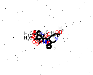 CC[C@]1(O)C[C@H]2CN(CCc3c([nH]c4ccccc34)[C@@](C(=O)OC)(c3cc4c(cc3OC)C(C=O)[C@H]3[C@@](O)(C(=O)OC)[C@H](OC(C)=O)[C@]5(CC)C=CCN6CC[C@]43[C@@H]65)C2)C1